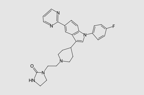 O=C1NCCN1CCN1CCC(c2cn(-c3ccc(F)cc3)c3ccc(-c4ncccn4)cc23)CC1